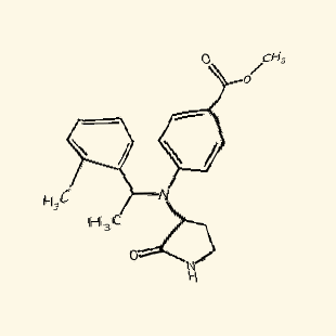 COC(=O)c1ccc(N(C2CCNC2=O)C(C)c2ccccc2C)cc1